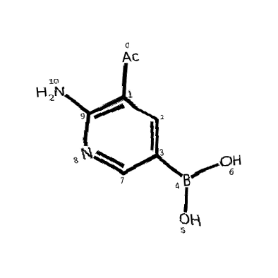 CC(=O)c1cc(B(O)O)cnc1N